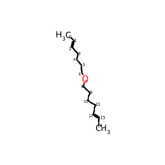 CC=CCCCCOCCCCC=CC